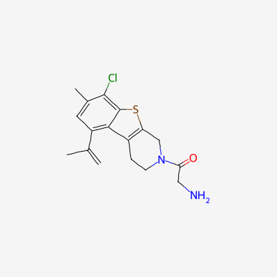 C=C(C)c1cc(C)c(Cl)c2sc3c(c12)CCN(C(=O)CN)C3